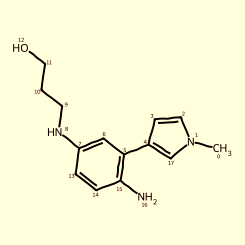 Cn1ccc(-c2cc(NCCCO)ccc2N)c1